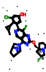 CC1CC1c1c(Cl)cc(O)cc1-c1ncc2c(N3CC4CCC(C3)N4)nc(OC[C@@]34CCCN3C[C@H](F)C4)nc2c1F